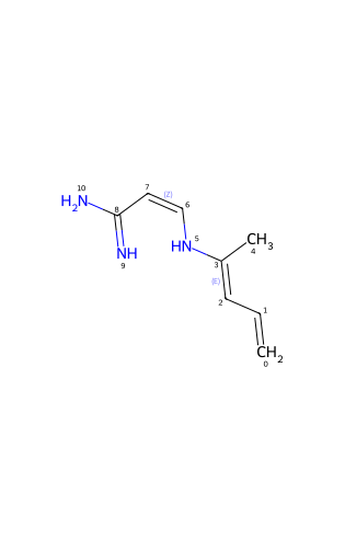 C=C/C=C(\C)N/C=C\C(=N)N